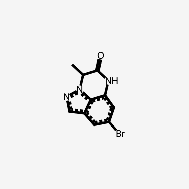 CC1C(=O)Nc2cc(Br)cc3cnn1c23